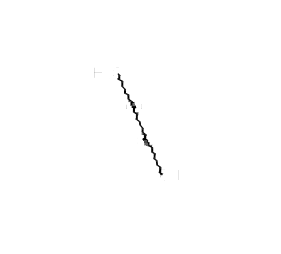 CCCCCCCCCCOC(=O)CCCCCCCCC(=O)OCCCCCCCCCC